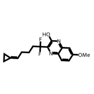 COc1ccc2nc(C(F)(F)CCCC=C3CC3)c(O)nc2c1